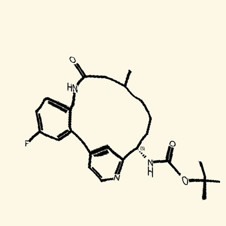 CC1CCC[C@H](NC(=O)OC(C)(C)C)c2cc(ccn2)-c2cc(F)ccc2NC(=O)C1